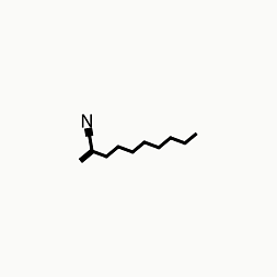 C=C(C#N)CCCCCCCC